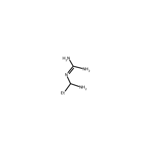 CCC(N)N=C(N)N